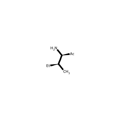 CC[C@H](C)[C@@H](N)C(C)=O